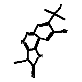 Cn1c(=O)[nH]c2c3cc(Br)c(C(C)(C)F)cc3nnc21